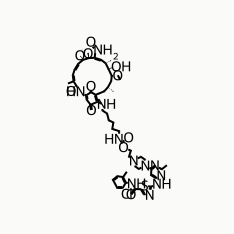 CO[C@H]1C=CC=C(C)C(=O)NC2=CC(=O)C(NCCCCCCNC(=O)OCCN3CCN(c4cc(Nc5ncc(C(=O)Nc6c(C)cccc6Cl)s5)nc(C)n4)CC3)=C(C[C@@H](C)C[C@H](OC)[C@@H](O)[C@@H](C)C=C(C)[C@@H]1OC(N)=O)C2=O